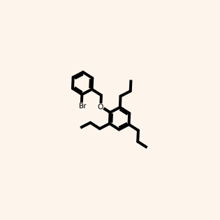 CCCc1cc(CCC)c(OCc2ccccc2Br)c(CCC)c1